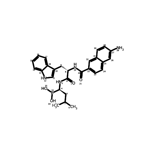 CC(C)C[C@H](NC(=O)[C@H](Cc1c[nH]c2ccccc12)NC(=O)c1ccc2cc(N)ccc2c1)B(O)O